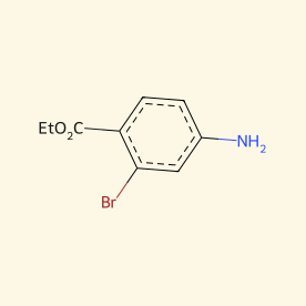 CCOC(=O)c1ccc(N)cc1Br